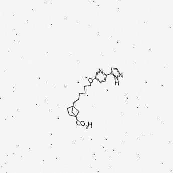 O=C(O)[C@]12CC[C@](CCCCCCOc3ccc(-c4ccn[nH]4)nc3)(C1)C2